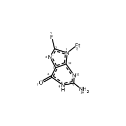 CCn1c(F)nc2c(=O)[nH]c(N)nc21